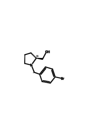 OC[C@@H]1CCCN1[C]c1ccc(Br)cc1